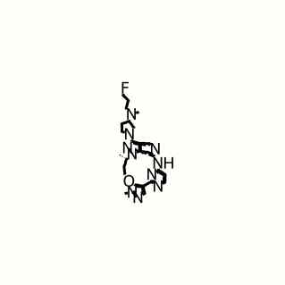 C[C@H]1CCOc2c(cnn2C)-c2nccc(n2)Nc2cc3c(cn2)c(N2CC[C@H](N(C)CCCF)C2)nn31